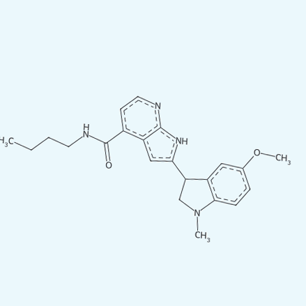 CCCCNC(=O)c1ccnc2[nH]c(C3CN(C)c4ccc(OC)cc43)cc12